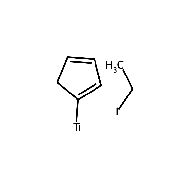 CCI.[Ti][C]1=CC=CC1